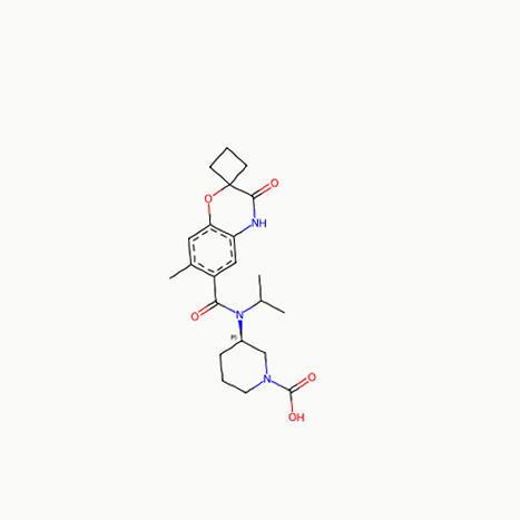 Cc1cc2c(cc1C(=O)N(C(C)C)[C@@H]1CCCN(C(=O)O)C1)NC(=O)C1(CCC1)O2